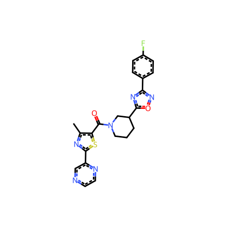 Cc1nc(-c2cnccn2)sc1C(=O)N1CCCC(c2nc(-c3ccc(F)cc3)no2)C1